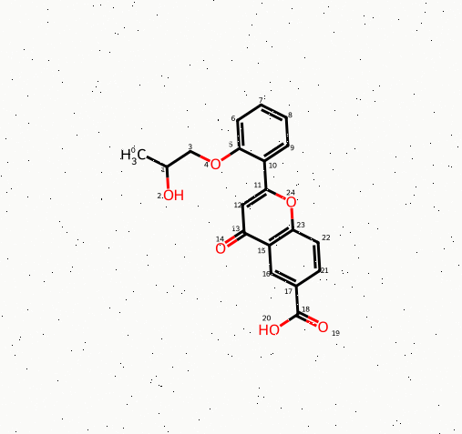 CC(O)COc1ccccc1-c1cc(=O)c2cc(C(=O)O)ccc2o1